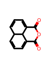 O=C1OC(=O)C2=CC=CC3C=CC=C1C23